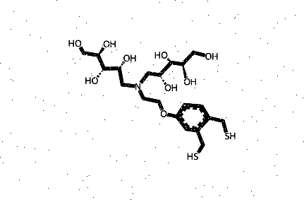 OC[C@@H](O)[C@@H](O)[C@H](O)CN(CCOc1ccc(CS)c(CS)c1)C[C@@H](O)[C@H](O)[C@H](O)CO